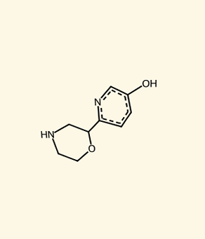 Oc1ccc(C2CNCCO2)nc1